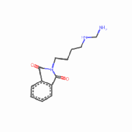 NCNCCCCN1C(=O)c2ccccc2C1=O